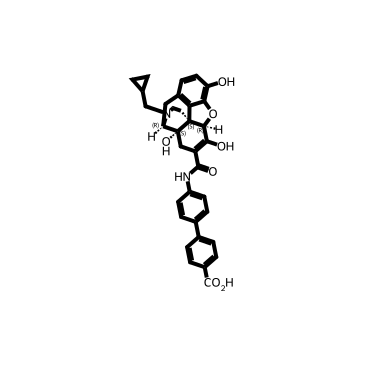 O=C(Nc1ccc(-c2ccc(C(=O)O)cc2)cc1)C1=C(O)[C@@H]2Oc3c(O)ccc4c3[C@@]23CCN(CC2CC2)[C@H](C4)[C@]3(O)C1